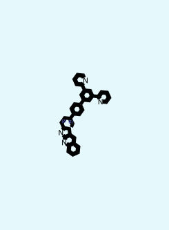 C/C=C(\C=C/C1=Nc2nc3ccccc3cc2C1)c1ccc(-c2cc(-c3ccccn3)cc(-c3ccccn3)c2)cc1